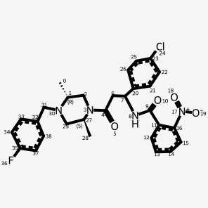 C[C@@H]1CN(C(=O)CC(NC(=O)c2ccccc2[N+](=O)[O-])c2ccc(Cl)cc2)[C@@H](C)CN1Cc1ccc(F)cc1